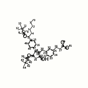 CCCCCC(O[Si](C)(C)C(C)(C)C)c1ccc([C@@H]2[C@@H](Cc3cccc(CCC(=O)OC)c3)[C@@H](O)C[C@H]2O[Si](C)(C)C(C)(C)C)cc1